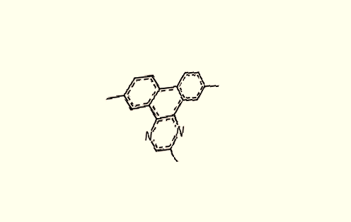 Cc1ccc2c3ccc(C)cc3c3nc(C)cnc3c2c1